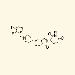 O=C1CCC(N2Cc3cc(C4CCN(Cc5cccc(F)c5F)CC4)ccc3C2=O)C(=O)N1